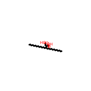 CCCCCCCCCCC=CC(=CCCCCCCCCCCCC)C(CC(=O)O)C(=O)O